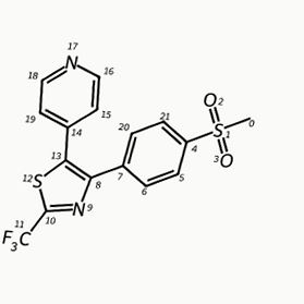 CS(=O)(=O)c1ccc(-c2nc(C(F)(F)F)sc2-c2ccncc2)cc1